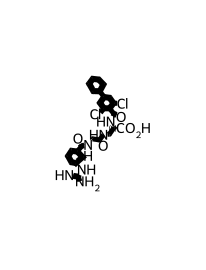 N=C(N)Nc1cccc(C(=O)NCC(=O)NC[C@H](NC(=O)c2c(Cl)cc(-c3ccccc3)cc2Cl)C(=O)O)c1